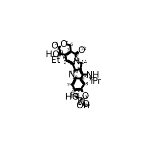 CC[C@@]1(O)C(=O)OCc2c1cc1n(c2=O)Cc2c-1nc1cc(F)c(OP(=O)(O)O)cc1c2NC(C)C